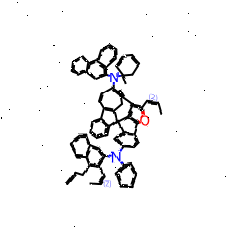 C#Cc1c(/C=C\C)oc2c1C1(C3=C(C=CC(N(c4cc5ccccc5c5ccccc45)C4(C)C=CC=CC4)=CC3)c3ccccc31)c1cc(N(c3ccccc3)c3cc4ccccc4c(CC=C)c3/C=C\C)ccc1-2